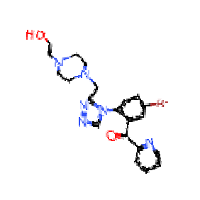 O=C(c1ccccn1)c1cc(Br)ccc1-n1cnnc1CN1CCN(CCO)CC1